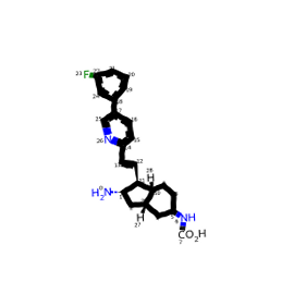 N[C@H]1C[C@H]2CC(NC(=O)O)CC[C@H]2[C@@H]1C=Cc1ccc(-c2cccc(F)c2)cn1